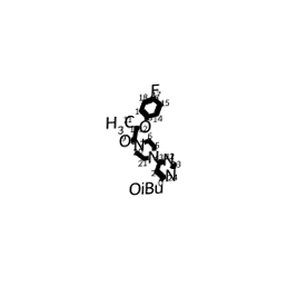 CC(C)COc1cc(N2CCN(C(=O)[C@@H](C)Oc3ccc(F)cc3)CC2)ncn1